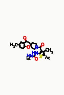 CCNC(=O)Nc1sc(C(C)=O)c(C)c1C(=O)N1CCC2(CC1)CC(=O)c1cc(C)ccc1O2